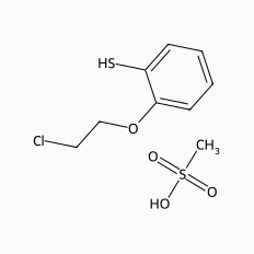 CS(=O)(=O)O.Sc1ccccc1OCCCl